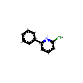 Clc1c[c]cc(-c2ccccc2)n1